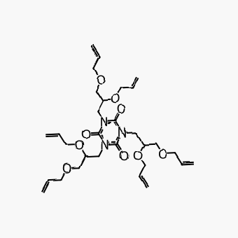 C=CCOCC(Cn1c(=O)n(CC(COCC=C)OCC=C)c(=O)n(CC(COCC=C)OCC=C)c1=O)OCC=C